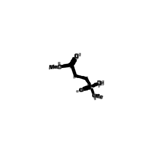 COC(=O)CCP(=O)(O)OC